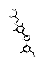 CCc1cc(-c2ncc(-c3cc(C)nc(CC(C)C)c3)o2)cc(C)c1OC[C@@H](O)CO